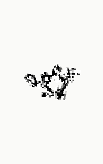 Cc1nn(C)c(CN(CCOc2c(-c3ccc4c(c3)c(C#C[Si](C(C)C)(C(C)C)C(C)C)nn4C3CCCCO3)cnn2C)C(=O)OC(C)(C)C)c1I